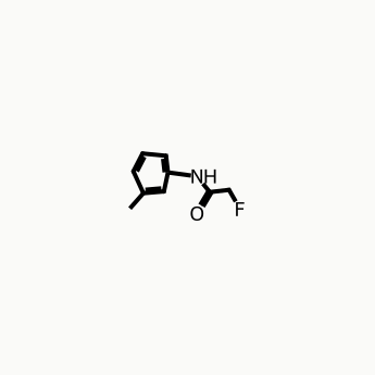 Cc1cccc(NC(=O)CF)c1